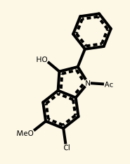 COc1cc2c(O)c(-c3ccccc3)n(C(C)=O)c2cc1Cl